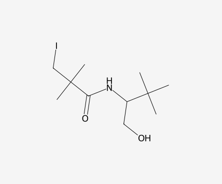 CC(C)(CI)C(=O)NC(CO)C(C)(C)C